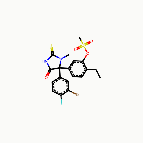 CCc1ccc(C2(c3ccc(F)c(Br)c3)C(=O)NC(=S)N2C)cc1OS(C)(=O)=O